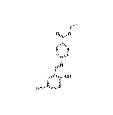 CCOC(=O)c1ccc(/N=C/c2cc(O)ccc2O)cc1